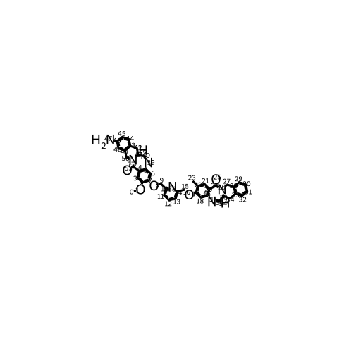 COc1cc2c(cc1OCc1cccc(COc3cc4c(cc3C)C(=O)N3Cc5ccccc5C[C@@H]3C=N4)n1)N=C[C@@H]1Cc3ccc(N)cc3CN1C2=O